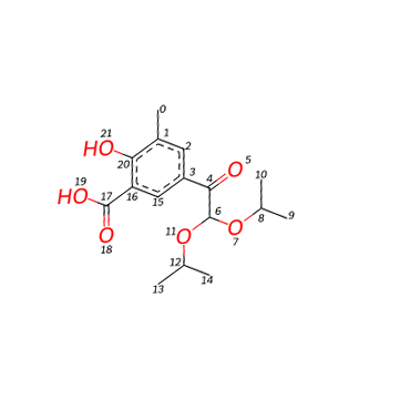 Cc1cc(C(=O)C(OC(C)C)OC(C)C)cc(C(=O)O)c1O